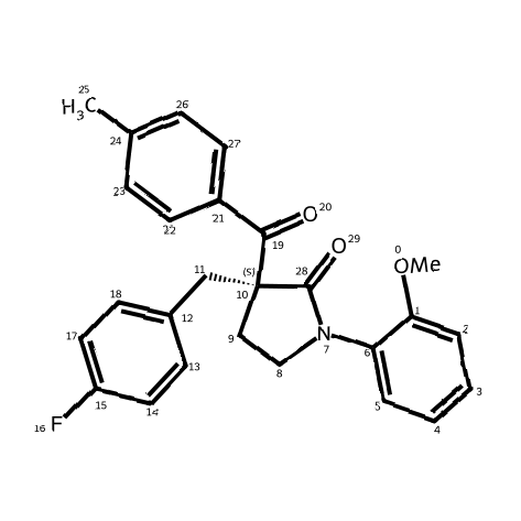 COc1ccccc1N1CC[C@@](Cc2ccc(F)cc2)(C(=O)c2ccc(C)cc2)C1=O